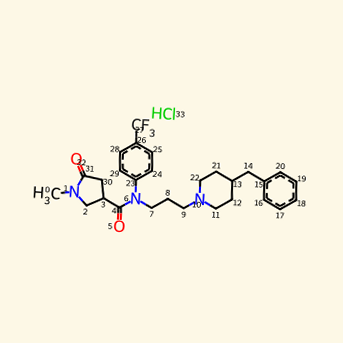 CN1CC(C(=O)N(CCCN2CCC(Cc3ccccc3)CC2)c2ccc(C(F)(F)F)cc2)CC1=O.Cl